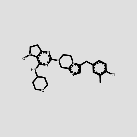 Cc1cc(Cc2cnc3n2CCN(c2nc4c(c(NC5CCOCC5)n2)[S+]([O-])CC4)C3)ccc1Cl